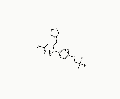 NC(=O)C[C@H](CN1CCCC1)[C@@H](O)c1ccc(OCC(F)(F)F)nc1